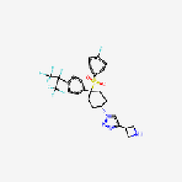 O=S(=O)(c1ccc(F)cc1)[C@]1(c2ccc(C(F)(C(F)(F)F)C(F)(F)F)cc2)CC[C@H](n2cc(C3CNC3)nn2)CC1